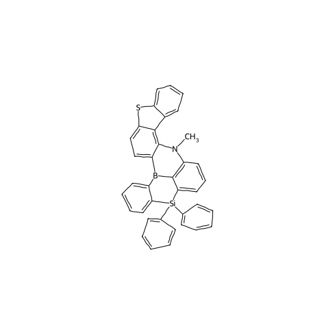 CN1c2cccc3c2B(c2ccccc2[Si]3(c2ccccc2)c2ccccc2)c2ccc3sc4ccccc4c3c21